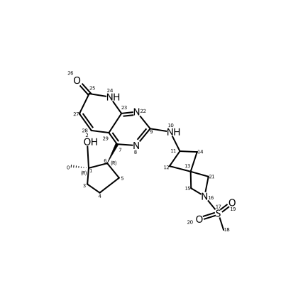 C[C@@]1(O)CCC[C@@H]1c1nc(NC2CC3(C2)CN(S(C)(=O)=O)C3)nc2[nH]c(=O)ccc12